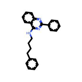 c1ccc(CCCCNc2nc(-c3ccccc3)nc3ccccc23)cc1